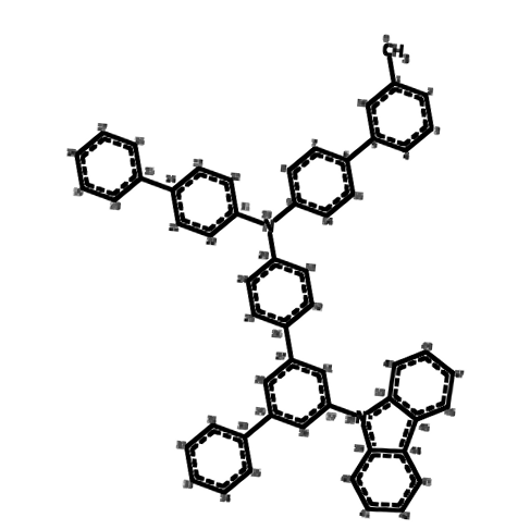 Cc1cccc(-c2ccc(N(c3ccc(-c4ccccc4)cc3)c3ccc(-c4cc(-c5ccccc5)cc(-n5c6ccccc6c6ccccc65)c4)cc3)cc2)c1